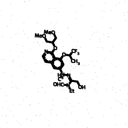 CCN(C=O)/C(CO)=N\N(C)c1cc(OC(C)C(F)(F)F)c2c(OC(COC)COC)nccc2c1